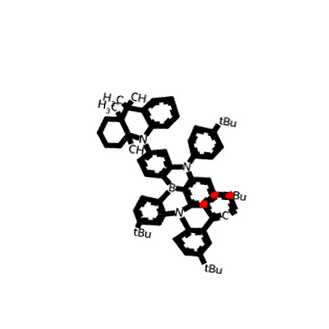 CC(C)(C)c1ccc(N2c3cc(N4c5ccccc5C(C)(C)C5(C)CCCCC45C)ccc3B3c4ccc(C(C)(C)C)cc4N(c4ccc(C(C)(C)C)cc4-c4ccccc4)c4cc(C(C)(C)C)cc2c43)cc1